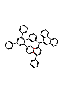 c1ccc(-c2ccc(N(c3cccc(-c4c(-c5ccccc5)cc(-c5ccccc5)cc4-c4ccccc4)c3)c3cc4ccccc4c4ccccc34)cc2)cc1